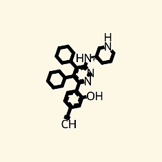 C#Cc1ccc(-c2nnc(N[C@@H]3CCCNC3)c(C3CCCCC3)c2C2CCCCC2)c(O)c1